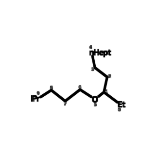 [CH2]CC(CCCCCCCCC)OCCCC(C)C